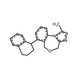 Cc1nnc2n1-c1cccc(C3CCCc4ccccc43)c1COC2